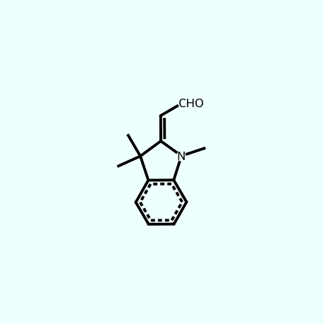 CN1/C(=C\C=O)C(C)(C)c2ccccc21